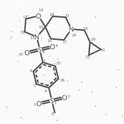 CS(=O)(=O)c1ccc(S(=O)(=O)N2CCOC23CCN(CC2CC2)CC3)cc1